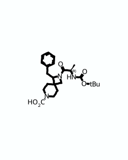 C[C@@H](NC(=O)OC(C)(C)C)C(=O)N1CC2(CCN(C(=O)O)CC2)C1Cc1ccccc1